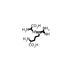 CCCCCC(N)C(=O)O.N=C(N)NCCC[C@@H](N)C(=O)O